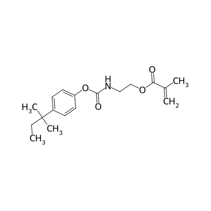 C=C(C)C(=O)OCCNC(=O)Oc1ccc(C(C)(C)CC)cc1